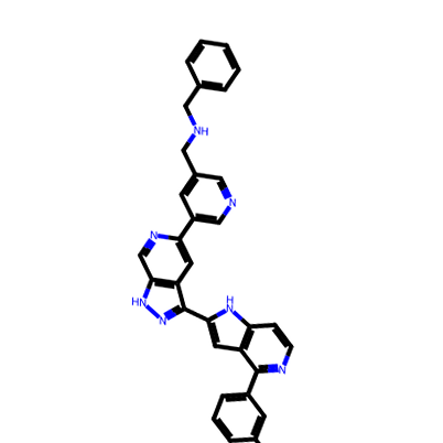 Fc1cccc(-c2nccc3[nH]c(-c4n[nH]c5cnc(-c6cncc(CNCc7ccccc7)c6)cc45)cc23)c1